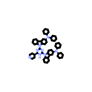 c1ccc(N(c2ccccc2)c2ccc3c(c2)c2ccccc2n3C2=NC(c3ccncc3)NC(n3c4ccccc4c4cc(N(c5ccccc5)c5ccccc5)ccc43)=N2)cc1